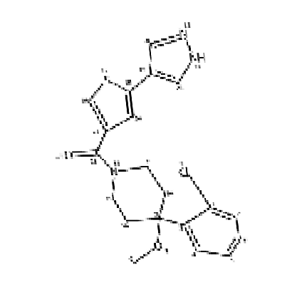 COC1(c2ccccc2Cl)CCN(C(=O)c2csc(-c3cn[nH]c3)c2)CC1